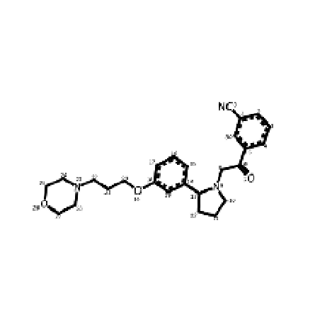 N#Cc1cccc(C(=O)CN2CCCC2c2cccc(OCCCN3CCOCC3)c2)c1